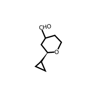 O=CC1CCO[C@@H](C2CC2)C1